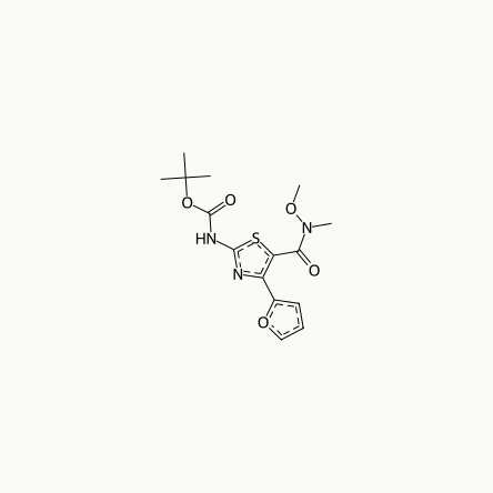 CON(C)C(=O)c1sc(NC(=O)OC(C)(C)C)nc1-c1ccco1